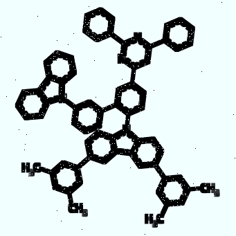 Cc1cc(C)cc(-c2ccc3c(c2)c2cc(-c4cc(C)cc(C)c4)ccc2n3-c2ccc(-c3cc(-c4ccccc4)nc(-c4ccccc4)n3)cc2-c2cccc(-n3c4ccccc4c4ccccc43)c2)c1